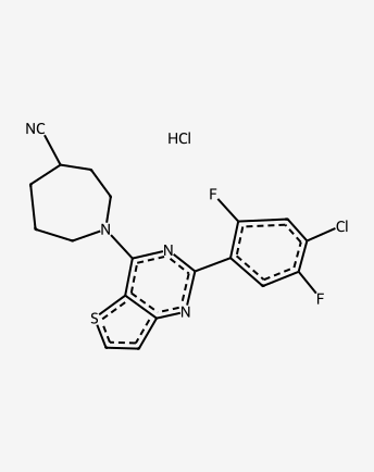 Cl.N#CC1CCCN(c2nc(-c3cc(F)c(Cl)cc3F)nc3ccsc23)CC1